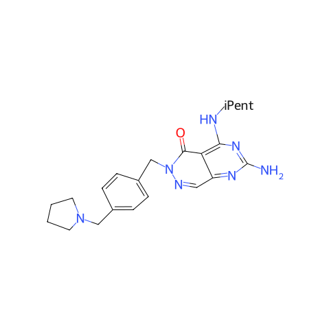 CCCC(C)Nc1nc(N)nc2cnn(Cc3ccc(CN4CCCC4)cc3)c(=O)c12